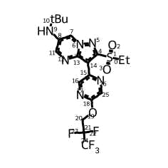 CCS(=O)(=O)c1nn2cc(NC(C)(C)C)cnc2c1-c1cnc(OCC(F)(F)C(F)(F)F)cn1